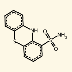 NS(=O)(=O)c1cccc2c1Nc1ccccc1S2